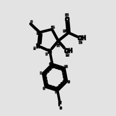 CC1=NN(c2ccc(F)cc2)C(O)(C(=O)O)C1